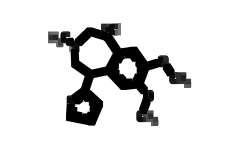 COc1cc2c(cc1OC)C(c1cccs1)CN(C)CC2.Cl